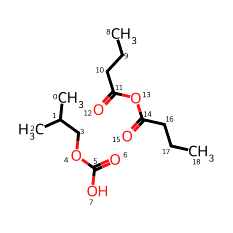 CC(C)COC(=O)O.CCCC(=O)OC(=O)CCC